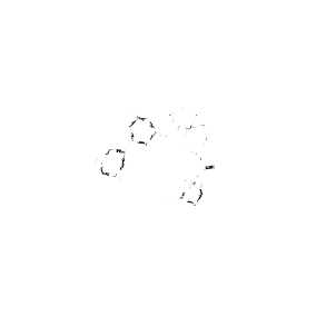 Cc1cc(CN2CCCC23CCN(C(=O)n2ccc(C(=O)O)n2)CC3)cc(-c2cncnc2)c1